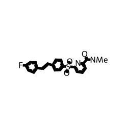 CNC(=O)c1cccc(S(=O)(=O)c2ccc(/C=C/c3ccc(F)cc3)cc2)n1